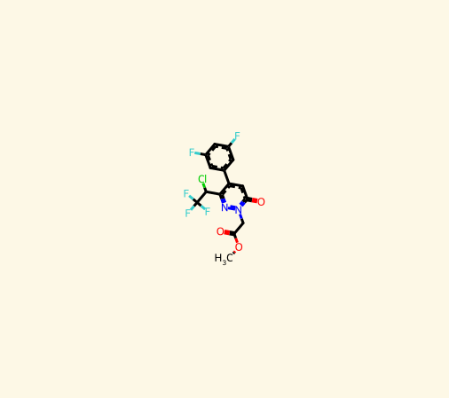 COC(=O)Cn1nc(C(Cl)C(F)(F)F)c(-c2cc(F)cc(F)c2)cc1=O